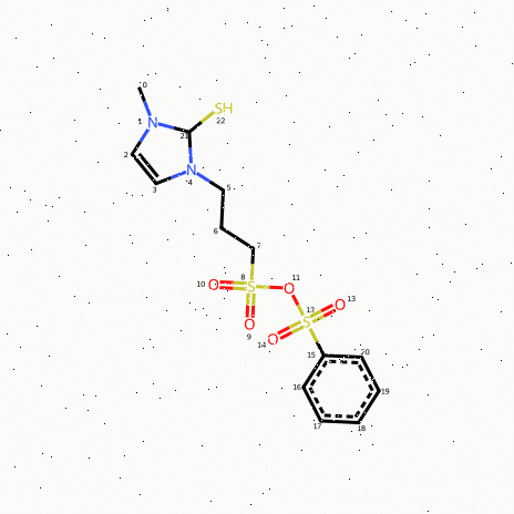 CN1C=CN(CCCS(=O)(=O)OS(=O)(=O)c2ccccc2)C1S